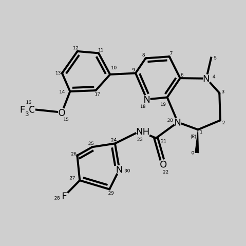 C[C@@H]1CCN(C)c2ccc(-c3cccc(OC(F)(F)F)c3)nc2N1C(=O)Nc1ccc(F)cn1